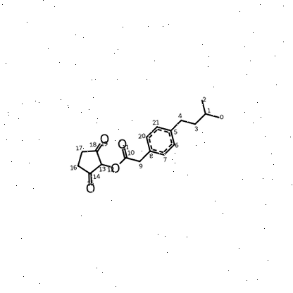 CC(C)CCc1ccc(CC(=O)OC2C(=O)CCC2=O)cc1